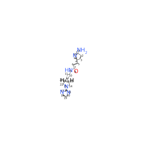 Nc1ccc(/C=C/C(=O)NCC[C@@H]2[C@H]3CN(c4ncccn4)C[C@@H]23)cn1